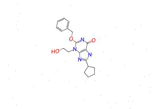 O=c1nc(OCc2ccccc2)n(CCO)c2c1[N]C(C1CCCC1)=N2